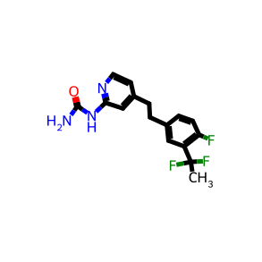 CC(F)(F)c1cc(CCc2ccnc(NC(N)=O)c2)ccc1F